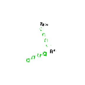 [B+3].[Cl-].[Cl-].[Cl-].[Cl-].[Cl-].[Cl-].[Cl-].[Cl-].[Ta+5]